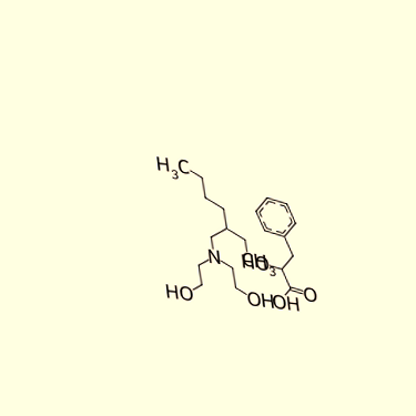 CCCCC(CC)CN(CCO)CCO.O=C(O)C(O)Cc1ccccc1